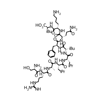 CC[C@H](C)[C@H](NC(=O)[C@H](CCCCN)NC(=O)[C@H](CCC(N)=O)NC(=O)[C@H](Cc1ccccc1)NC(=O)[C@@H](NC(=O)[C@H](CC(C)C)NC(=O)[C@H](CC(C)C)NC(=O)[C@H](C)NC(=O)[C@H](CCCNC(=N)N)NC(=O)[C@@H](N)CO)[C@@H](C)CC)C(=O)O